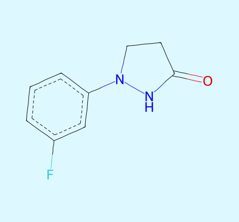 O=C1CCN(c2cccc(F)c2)N1